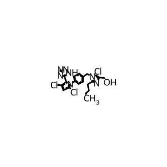 CCCCc1nc(CO)c(Cl)n1Cc1ccc(-n2c(Cl)cc(Cl)c2-c2nnn[nH]2)cc1